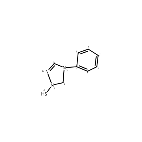 SN1CN(c2ccccc2)C=N1